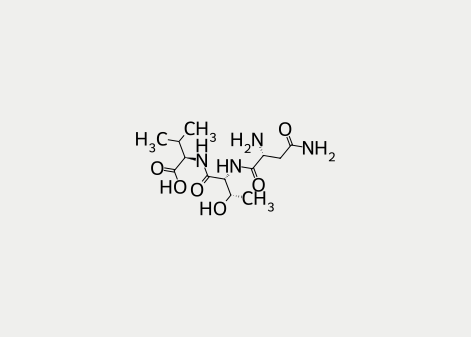 CC(C)[C@@H](NC(=O)[C@H](NC(=O)[C@H](N)CC(N)=O)[C@H](C)O)C(=O)O